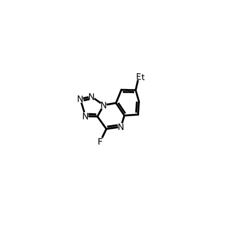 CCc1ccc2nc(F)c3nnnn3c2c1